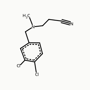 CN(CCC#N)Cc1ccc(Cl)c(Cl)c1